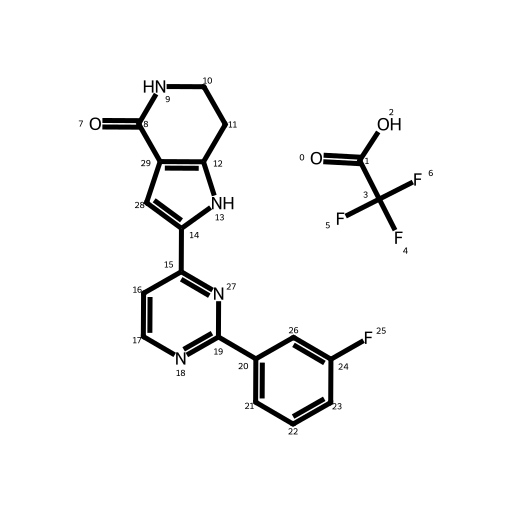 O=C(O)C(F)(F)F.O=C1NCCc2[nH]c(-c3ccnc(-c4cccc(F)c4)n3)cc21